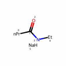 CCCC(=O)[N]CC.[NaH]